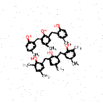 Cc1cc(C)c(O)c(Cc2cc(C)cc(Cc3cc(C)cc(C)c3O)c2O)c1.Cc1ccc(O)c(Cc2cc(C)cc(Cc3cc(C)ccc3O)c2O)c1